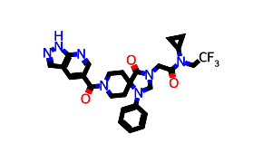 O=C(c1cnc2[nH]ncc2c1)N1CCC2(CC1)C(=O)N(CC(=O)N(CC(F)(F)F)C1CC1)CN2c1ccccc1